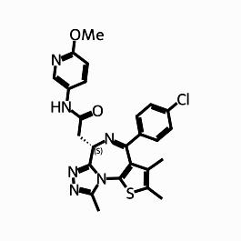 COc1ccc(NC(=O)C[C@@H]2N=C(c3ccc(Cl)cc3)c3c(sc(C)c3C)-n3c(C)nnc32)cn1